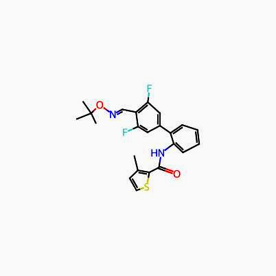 Cc1ccsc1C(=O)Nc1ccccc1-c1cc(F)c(C=NOC(C)(C)C)c(F)c1